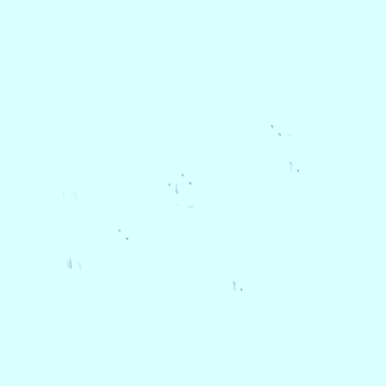 CC(C)CCN(CCC(C)C)C(=O)c1ccn2nc(-c3ccc(-c4noc(-c5ccccc5)n4)cc3)c(CCCN3CCCCC3)c2c1